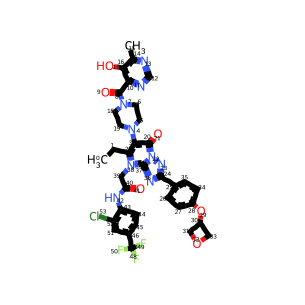 CCc1c(N2CCN(C(=O)c3ncnc(C)c3O)CC2)c(=O)n2nc(-c3ccc(OC4COC4)cc3)nc2n1CC(=O)Nc1ccc(C(F)(F)F)cc1Cl